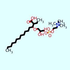 CCCCCCCCCCCCC(OCC(O)COP(=O)(O)OCC[N+](C)(C)C)C(CC)C(=O)O